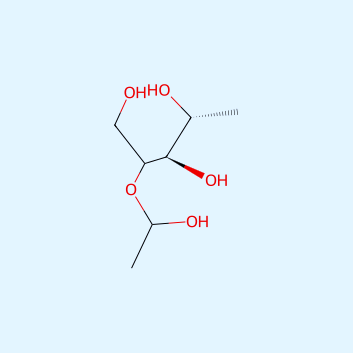 CC(O)OC(CO)[C@H](O)[C@@H](C)O